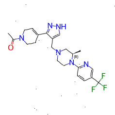 CC(=O)N1CC=C(c2n[nH]cc2CN2CCN(c3ccc(C(F)(F)F)cn3)[C@H](C)C2)CC1